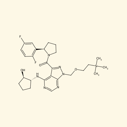 C[Si](C)(C)CCOCn1nc(C(=O)N2CCC[C@@H]2c2cc(F)ccc2F)c2c(N[C@@H]3CCC[C@H]3O)ncnc21